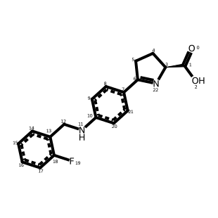 O=C(O)[C@@H]1CCC(c2ccc(NCc3ccccc3F)cc2)=N1